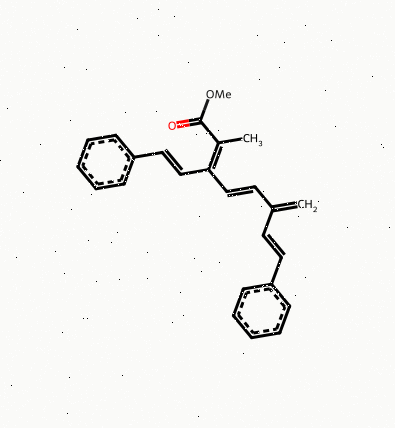 C=C(C=CC(C=Cc1ccccc1)=C(C)C(=O)OC)C=Cc1ccccc1